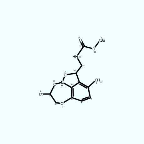 CCC1COc2ccc(C)c3c2B(O1)OC3CNC(=O)OC(C)(C)C